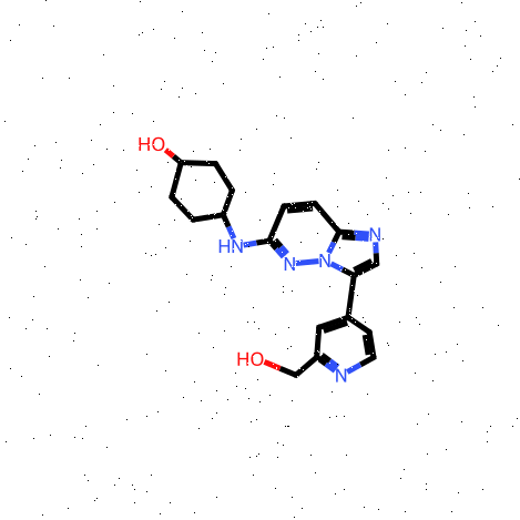 OCc1cc(-c2cnc3ccc(NC4CCC(O)CC4)nn23)ccn1